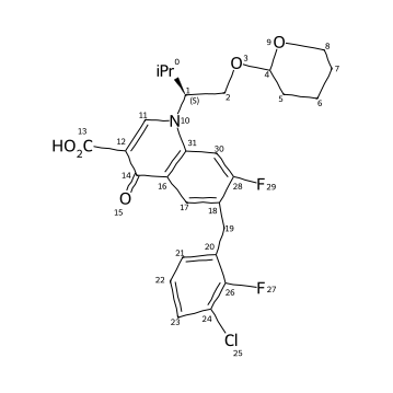 CC(C)[C@@H](COC1CCCCO1)n1cc(C(=O)O)c(=O)c2cc(Cc3cccc(Cl)c3F)c(F)cc21